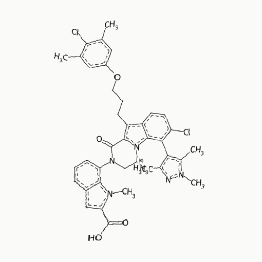 Cc1cc(OCCCc2c3n(c4c(-c5c(C)nn(C)c5C)c(Cl)ccc24)[C@H](C)CN(c2cccc4cc(C(=O)O)n(C)c24)C3=O)cc(C)c1Cl